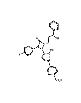 O=C1[C@H](CC[C@H](O)c2ccccc2)[C@@H](c2ccc(-c3ccc(S(=O)(=O)O)cc3)cc2O)N1c1ccc(F)cc1